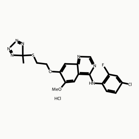 COc1cc2c(Nc3ccc(Cl)cc3F)ncnc2cc1OCCSC1(C)N=NN=N1.Cl